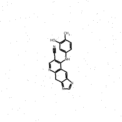 Cc1ccc(Nc2c(C#N)cnc3c2C=C2N=CN=C2C3)cc1O